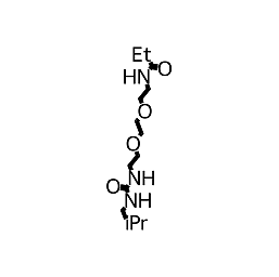 CCC(=O)NCCOCCOCCNC(=O)NCC(C)C